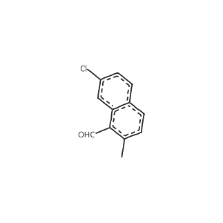 Cc1ccc2ccc(Cl)cc2c1C=O